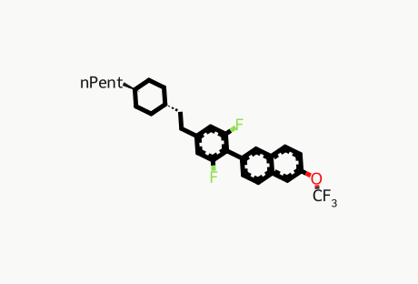 CCCCC[C@H]1CC[C@H](CCc2cc(F)c(-c3ccc4cc(OC(F)(F)F)ccc4c3)c(F)c2)CC1